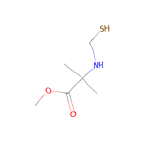 COC(=O)C(C)(C)NCS